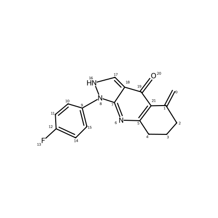 C=C1CCCc2nc3n(-c4ccc(F)cc4)[nH]cc-3c(=O)c21